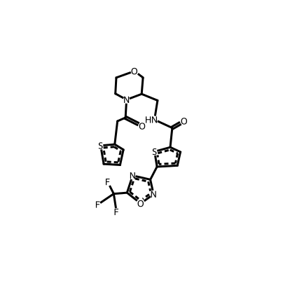 O=C(NCC1COCCN1C(=O)Cc1cccs1)c1ccc(-c2noc(C(F)(F)F)n2)s1